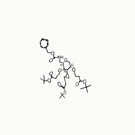 CC(C)(C)OC(=O)CCO[C@H]1[C@H](OCCC(=O)OC(C)(C)C)[C@@H](CNC(=O)OCc2ccccc2)OC[C@@H]1OCCC(=O)OC(C)(C)C